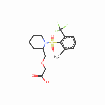 Cc1cccc(C(F)(F)F)c1S(=O)(=O)N1CCCCC1COCC(=O)O